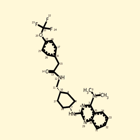 CN(C)c1nc(N[C@H]2CC[C@@H](CNC(=O)Cc3ccc(OC(F)(F)F)cc3)CC2)nc2ccccc12